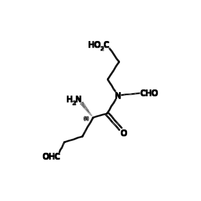 N[C@@H](CCC=O)C(=O)N(C=O)CCC(=O)O